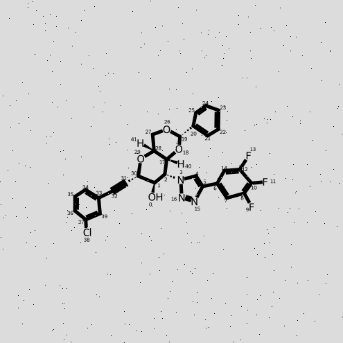 O[C@@H]1[C@@H](n2cc(-c3cc(F)c(F)c(F)c3)nn2)[C@H]2O[C@@H](c3ccccc3)OC[C@H]2O[C@H]1C#Cc1cccc(Cl)c1